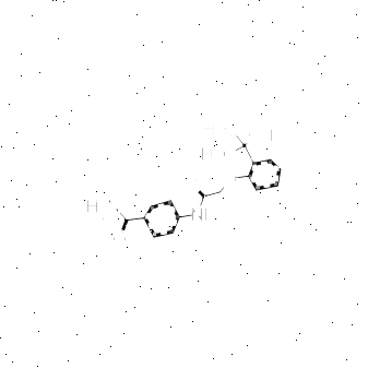 CC(C)(C)c1ccccc1OCC(=O)Nc1ccc(C(N)=O)cc1